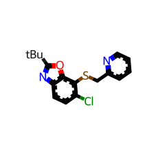 CC(C)(C)c1nc2ccc(Cl)c(SCc3ccccn3)c2o1